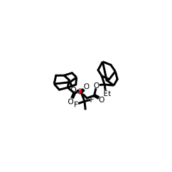 CCC1(OC(=O)COC(=O)C23CC4CC(C2)C(OC(=O)C(C)(F)F)C(C4)C3)C2CC3CC(C2)CC1C3